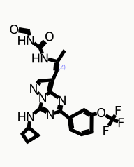 C/C(=C/c1cnn2c(NC3CCC3)nc(-c3cccc(OC(F)(F)F)c3)nc12)NC(=O)NC=O